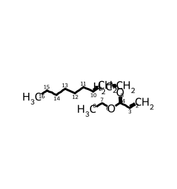 C=C.C=CC(=O)OCC.C=CCCCCCC